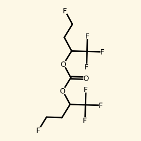 O=C(OC(CCF)C(F)(F)F)OC(CCF)C(F)(F)F